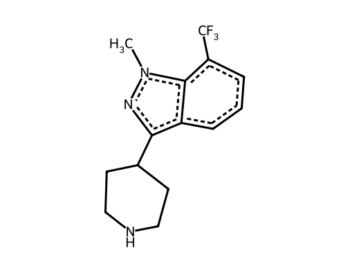 Cn1nc(C2CCNCC2)c2cccc(C(F)(F)F)c21